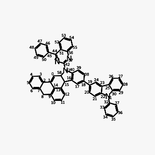 C1=C2c3ccccc3Cc3cccc(c32)C2c3cc(-c4ccc5c(c4)c4ccccc4n5-c4ccccc4)ccc3N(c3nc(-c4ccccc4)c4ccccc4n3)C12